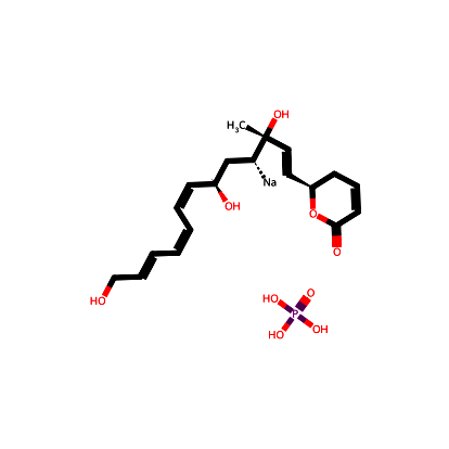 C[C@@](O)(/C=C/[C@H]1CC=CC(=O)O1)[C@H]([Na])C[C@@H](O)\C=C/C=C\C=C\CO.O=P(O)(O)O